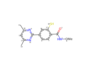 CONC(=O)c1ccc(-c2nc(C)cc(C)n2)cc1S